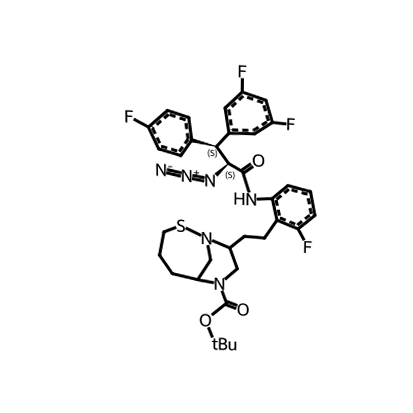 CC(C)(C)OC(=O)N1CC(CCc2c(F)cccc2NC(=O)[C@@H](N=[N+]=[N-])[C@@H](c2ccc(F)cc2)c2cc(F)cc(F)c2)N2CC1CCCS2